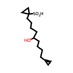 O=S(=O)(O)C1(CCCCC(O)CCCCC2=CC2)CC1